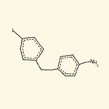 Nc1ccc(Cc2ccc(I)cc2)cc1